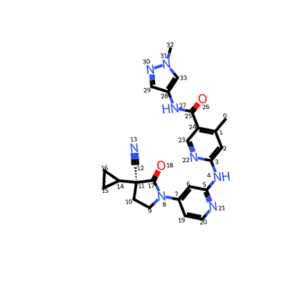 Cc1cc(Nc2cc(N3CC[C@@](C#N)(C4CC4)C3=O)ccn2)ncc1C(=O)Nc1cnn(C)c1